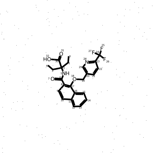 CCC(CC)(NC(=O)c1ccc2ccccc2c1OCc1ccc(C(F)(F)F)nc1)C(=O)O